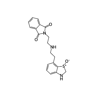 O=C1c2ccccc2C(=O)N1CCNCCc1cccc2c1[S+]([O-])CN2